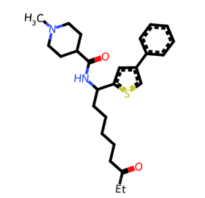 CCC(=O)CCCCCC(NC(=O)C1CCN(C)CC1)c1cc(-c2ccccc2)cs1